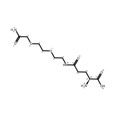 NC(=O)COCCOCCNC(=O)CC[C@H](N)C(=O)O